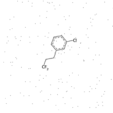 FC(F)(F)C[CH]c1cccc(Cl)c1